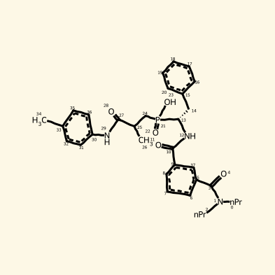 CCCN(CCC)C(=O)c1cccc(C(=O)N[C@@H](Cc2ccccc2)P(=O)(O)CC(C)C(=O)Nc2ccc(C)cc2)c1